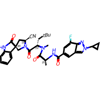 C[C@H](NC(=O)c1cc(F)c2nn(C3CC3)cc2c1)C(=O)N(C)[C@@H](CC(C)(C)C)C(=O)N1C[C@]2(C[C@H]1C#N)C(=O)Nc1ccccc12